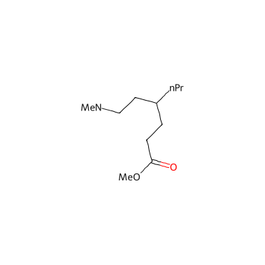 CCCC(CCNC)CCC(=O)OC